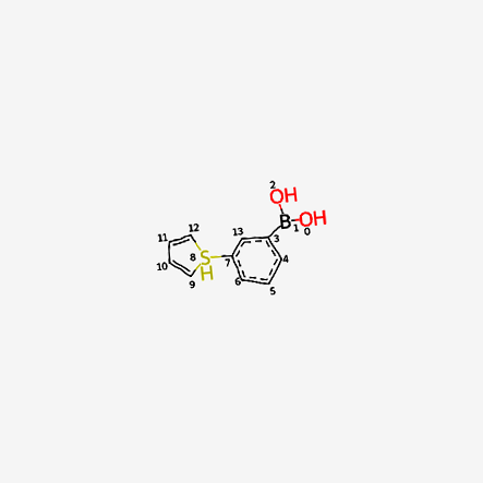 OB(O)c1cccc([SH]2C=CC=C2)c1